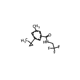 Cc1cc(C(=O)NCC(F)(F)F)cc(C2(C)CC2)c1